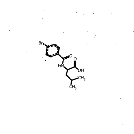 CC(C)CC(NC(=O)c1ccc(Br)cc1)C(=O)O